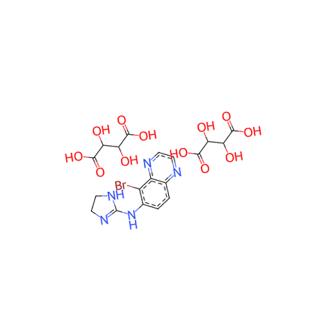 Brc1c(NC2=NCCN2)ccc2nccnc12.O=C(O)C(O)C(O)C(=O)O.O=C(O)C(O)C(O)C(=O)O